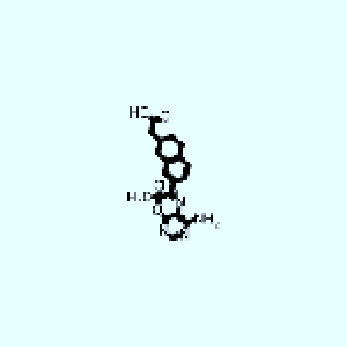 CC1(C)Oc2ncnc(N)c2N=C1c1ccc2c(c1)CC(CC(=O)O)CC2